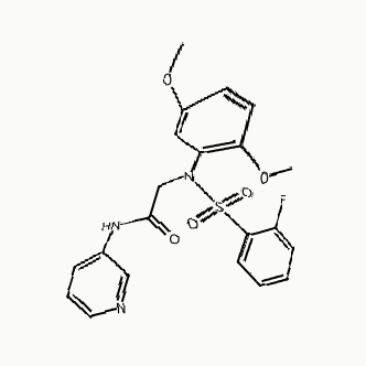 COc1ccc(OC)c(N(CC(=O)Nc2cccnc2)S(=O)(=O)c2ccccc2F)c1